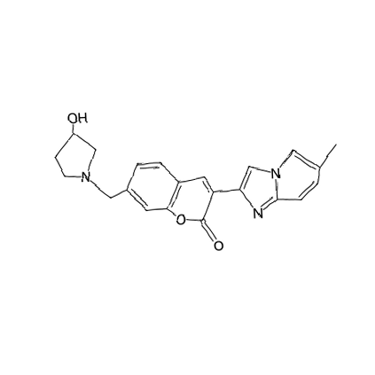 Cc1ccc2nc(-c3cc4ccc(CN5CCC(O)C5)cc4oc3=O)cn2c1